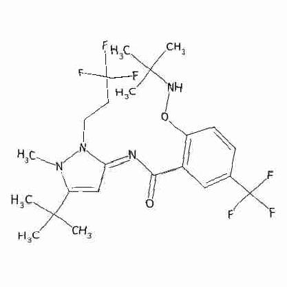 Cn1c(C(C)(C)C)c/c(=N\C(=O)c2cc(C(F)(F)F)ccc2ONC(C)(C)C)n1CCC(F)(F)F